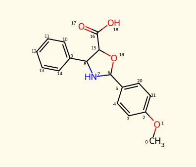 COc1ccc(C2NC(c3ccccc3)C(C(=O)O)O2)cc1